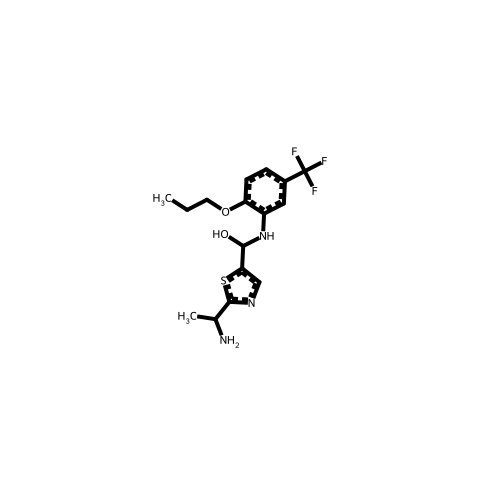 CCCOc1ccc(C(F)(F)F)cc1NC(O)c1cnc(C(C)N)s1